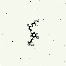 CCCCC(CC)COC(=O)CCSc1ccc(Cl)c(OCCCOC)c1